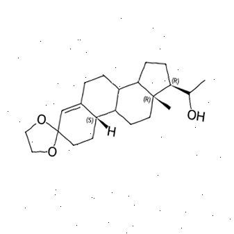 CC(O)[C@@H]1CCC2C3CCC4=CC5(CC[C@H]4C3CC[C@]21C)OCCO5